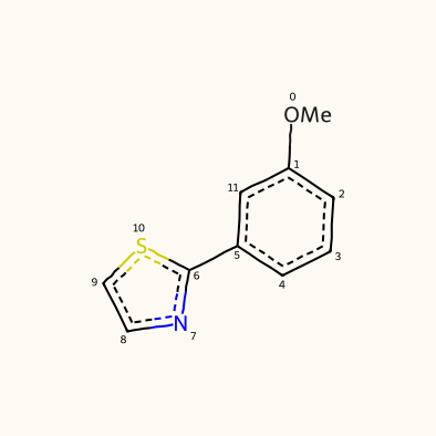 COc1cccc(-c2nccs2)c1